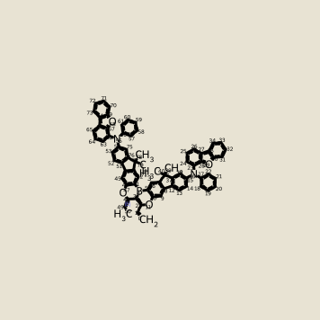 C=CC1=C2B(c3cc4c(cc3O1)-c1ccc(N(c3ccccc3)c3cccc5c3oc3ccccc35)cc1C4(C)C)c1cc3c(cc1O/C2=C/C)-c1ccc(N(c2ccccc2)c2cccc4c2oc2ccccc24)cc1C3(C)C